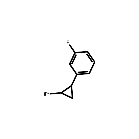 CC(C)C1CC1c1cccc(F)c1